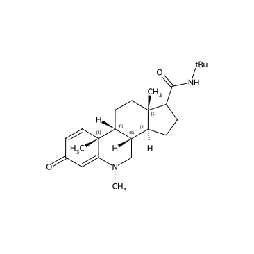 CN1C[C@@H]2[C@@H](CC[C@]3(C)C(C(=O)NC(C)(C)C)CC[C@@H]23)[C@@]2(C)C=CC(=O)C=C12